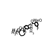 COc1ccc(F)cc1C(=O)NCc1ccc(B2OCCCCC(C)(C)C(C)(C)O2)cc1C